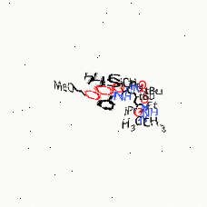 CCN(C(=O)NN(C)C)C(=O)C(CC(C(CC(C(C)C)C(NC(=O)c1ccccc1OCCCCOC)O[SiH](C)C)NC(=O)OC(C)(C)C)C(C)(C)C)C(C)C